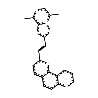 Cc1ncc(C)n2nc(C=Cc3ccc4ccc5ncccc5c4n3)nc12